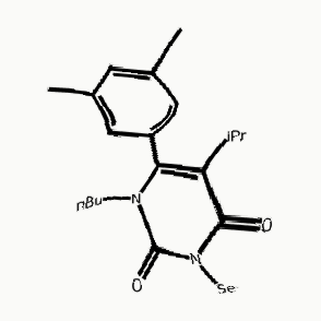 CCCCn1c(-c2cc(C)cc(C)c2)c(C(C)C)c(=O)n([Se])c1=O